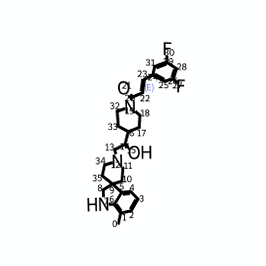 Cc1cccc2c1NCC21CCN(CC(O)C2CCN(C(=O)/C=C/c3cc(F)cc(F)c3)CC2)CC1